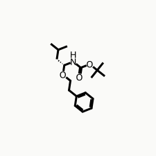 CC(C)C[C@H](NC(=O)OC(C)(C)C)OCCc1ccccc1